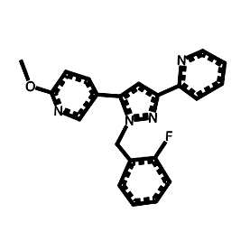 COc1ccc(-c2cc(-c3ccccn3)nn2Cc2ccccc2F)cn1